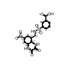 O=C(O)c1cccc(S(=O)(=O)NCc2cc([N+](=O)[O-])cc3[nH]c(=O)c(=O)[nH]c23)c1